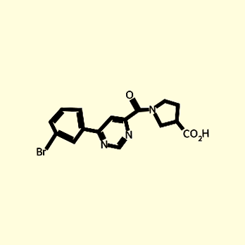 O=C(O)C1CCN(C(=O)c2cc(-c3cccc(Br)c3)ncn2)C1